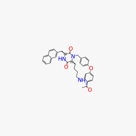 CC(=O)c1ccc(Oc2ccc(CN3C(=O)[C@H](Cc4ccc5ccccc5c4)NC(=O)[C@@H]3CCCCN)cc2)cc1